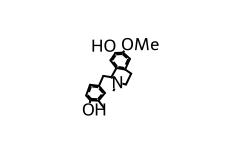 COc1cc2c(cc1O)C(Cc1ccc(O)c(C)c1)N(C)CC2